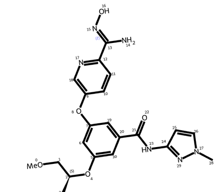 COC[C@H](C)Oc1cc(Oc2ccc(/C(N)=N/O)nc2)cc(C(=O)Nc2ccn(C)n2)c1